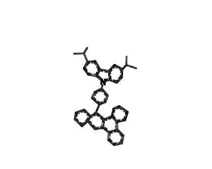 CC(C)c1ccc2c(c1)c1cc(C(C)C)ccc1n2-c1ccc(-c2c3ccccc3cc3c4ccccc4c4ccccc4c23)cc1